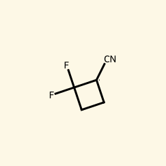 N#C[C]1CCC1(F)F